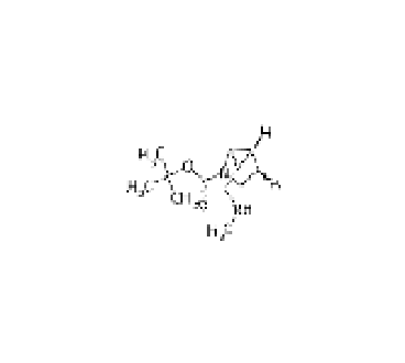 CNC[C@]12C3[C@@H]1[C@@H]2CN3C(=O)OC(C)(C)C